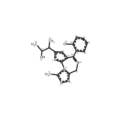 Cc1nnc2n1-c1sc(C(C)C(C)O)cc1C(c1ccccc1Cl)=NC2